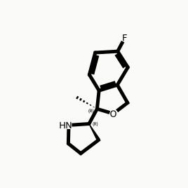 C[C@@]1([C@H]2CCCN2)OCc2cc(F)ccc21